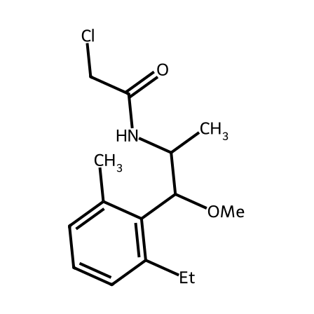 CCc1cccc(C)c1C(OC)C(C)NC(=O)CCl